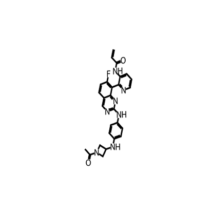 C=CC(=O)Nc1cccnc1-c1c(F)ccc2cnc(Nc3ccc(NC4CN(C(C)=O)C4)cc3)nc12